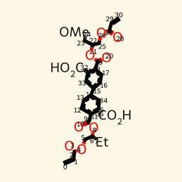 C=CC(=O)OCC(CC)OC(=O)c1ccc(-c2ccc(C(=O)OC(COC)COC(=O)C=C)c(C(=O)O)c2)cc1C(=O)O